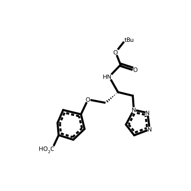 CC(C)(C)OC(=O)N[C@@H](COc1ccc(C(=O)O)cc1)Cn1ccnn1